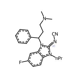 CCCn1/c(=N/C#N)n(C(CCN(C)C)c2ccccc2)c2cc(F)ccc21